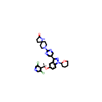 C[C@@H](Oc1ccc2c(c1)c(-c1cnc(N3CCC4(CCC(=O)N4)CC3)nc1)nn2C1CCCCO1)c1c(Cl)cncc1Cl